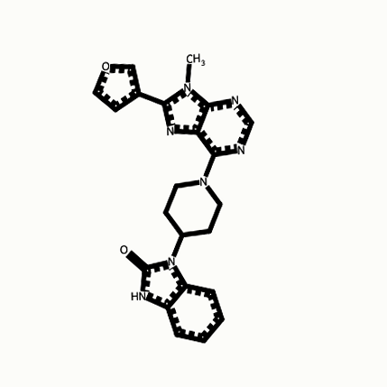 Cn1c(-c2ccoc2)nc2c(N3CCC(n4c(=O)[nH]c5ccccc54)CC3)ncnc21